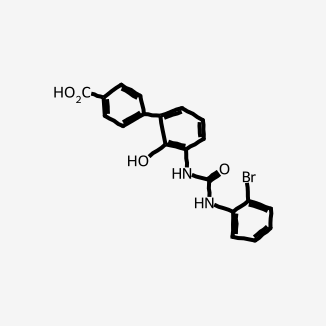 O=C(Nc1ccccc1Br)Nc1cccc(-c2ccc(C(=O)O)cc2)c1O